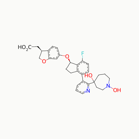 O=C(O)C[C@@H]1COc2cc(O[C@@H]3CCc4c(-c5cccnc5C5(O)CCCN(O)CC5)ccc(F)c43)ccc21